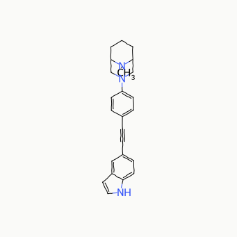 CN1C2CCCC1CN(c1ccc(C#Cc3ccc4[nH]ccc4c3)cc1)C2